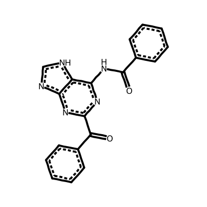 O=C(Nc1nc(C(=O)c2ccccc2)nc2nc[nH]c12)c1ccccc1